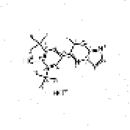 CC1Sc2nccn2N=C1c1cc(C(C)(C)C)c(O)c(C(C)(C)C)c1.Cl